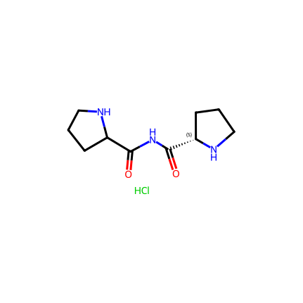 Cl.O=C(NC(=O)[C@@H]1CCCN1)C1CCCN1